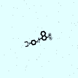 CCN(CC)c1ccc(/N=N/c2ccc([N+](=O)[O-])c3ccccc23)cc1